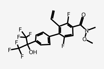 C=Cc1c(F)c(C(=O)N(C)OC)cc(F)c1-c1ccc(C(O)(C(F)(F)F)C(F)(F)F)cc1